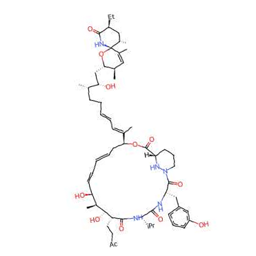 CC[C@H]1C[C@H](C)[C@@]2(NC1=O)O[C@@H](C[C@H](O)[C@@H](C)CC/C=C/C=C(\C)[C@@H]1C/C=C/C=C/[C@H](O)[C@H](C)[C@@H](O)[C@@H](CCC(C)=O)C(=O)N[C@@H](C(C)C)C(=O)N[C@@H](Cc3cccc(O)c3)C(=O)N3CCC[C@H](N3)C(=O)O1)[C@H](C)C=C2C